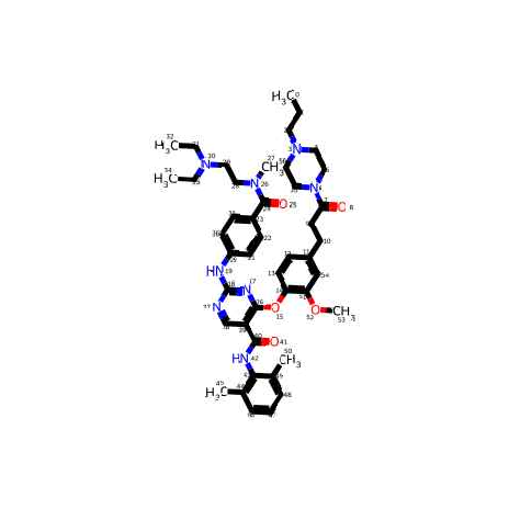 CCCN1CCN(C(=O)CCc2ccc(Oc3nc(Nc4ccc(C(=O)N(C)CCN(CC)CC)cc4)ncc3C(=O)Nc3c(C)cccc3C)c(OC)c2)CC1